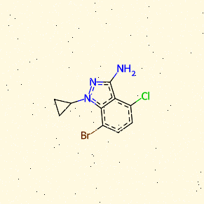 Nc1nn(C2CC2)c2c(Br)ccc(Cl)c12